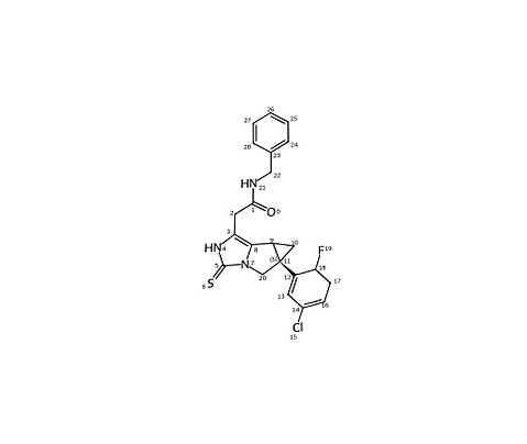 O=C(Cc1[nH]c(=S)n2c1C1C[C@]1(C1=CC(Cl)=CCC1F)C2)NCc1ccccc1